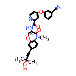 CN1C(=O)[C@@H](NC(=O)c2cc(Oc3cccc(C#N)c3)ccn2)COc2cc(C#CC(C)(C)O)ccc21